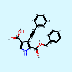 O=C(O)c1c[nH]c(C(=O)OCc2ccccc2)c1C#Cc1ccccc1